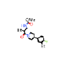 CCc1cc(C2CCN(C(=O)C(CC)CNC(=O)OC)CC2)ccc1F